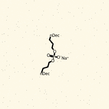 CCCCCCCCCCCCCOP(=O)([O-])OCCCCCCCCCCCCC.[Na+]